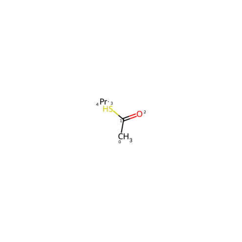 CC(=O)S.[Pr]